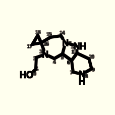 OCCN1CC2C3CNCCC3NN2CCC12CC2